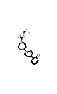 CCOC(=O)N1CCCC(N2CCC(c3cccnc3Cl)CC2)CC1